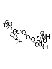 CS(=O)(=O)c1ccc(-c2ccc3cc(O)ccc3c2Oc2ccc(OCCOCCOCCOC3CNCCN3c3cccc4c3C(=O)NC4=O)cc2)cc1